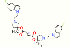 CC1(OC(=O)/C=C/C(=O)OC2(C)CCN(CCn3ccc4cc(F)ccc43)C2)CCN(CCn2ccc3cc(F)ccc32)C1